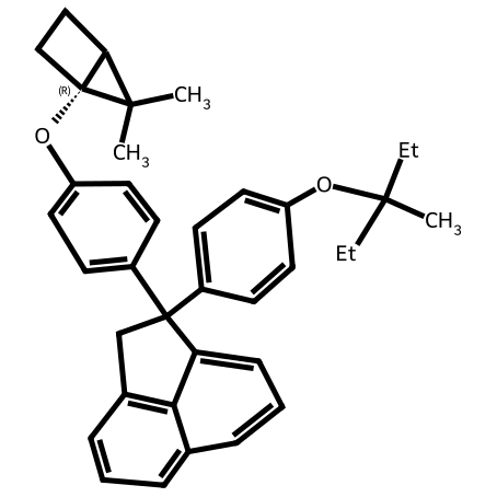 CCC(C)(CC)Oc1ccc(C2(c3ccc(O[C@]45CCC4C5(C)C)cc3)Cc3cccc4cccc2c34)cc1